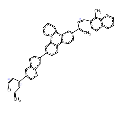 C=C/C=C(\C=C/CC)c1ccc2cc(-c3ccc4c5ccc(C(=C)/C=C\c6ccc7cccnc7c6C)cc5c5ccccc5c4c3)ccc2c1